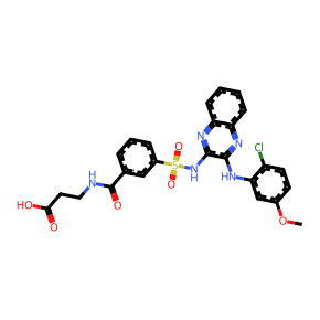 COc1ccc(Cl)c(Nc2nc3ccccc3nc2NS(=O)(=O)c2cccc(C(=O)NCCC(=O)O)c2)c1